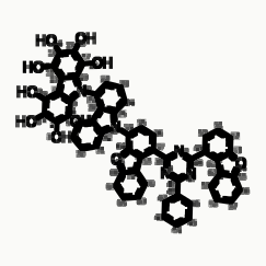 Oc1c(O)c(O)c2c(c1O)c1c(O)c(O)c(O)c(O)c1n2-c1cccc2c1c1ccccc1n2-c1ccc(-c2nc(-c3ccccc3)nc(-c3cccc4oc5ccccc5c34)n2)c2c1oc1ccccc12